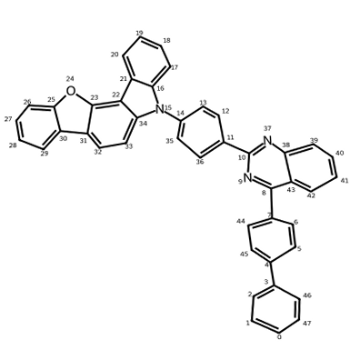 c1ccc(-c2ccc(-c3nc(-c4ccc(-n5c6ccccc6c6c7oc8ccccc8c7ccc65)cc4)nc4ccccc34)cc2)cc1